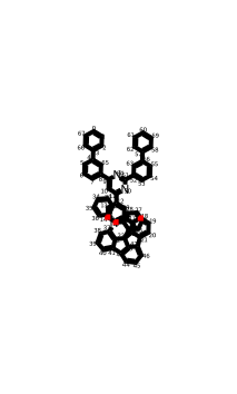 c1ccc(-c2cccc(-c3cc(-c4cccc(-c5cccc6c5C57c8ccccc8N(c8ccccc8)c8cccc(c85)-c5cccc-6c57)c4)nc(-c4cccc(-c5ccccc5)c4)n3)c2)cc1